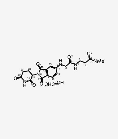 CNC(=O)CCNC(=O)CNc1ccc2c(c1)C(=O)N(C1CCC(=O)NC1=O)C2=O.O=CO